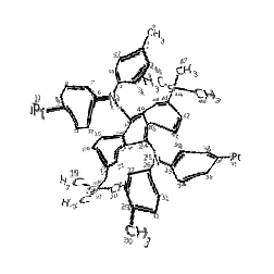 Cc1ccc(N(c2ccc(C(C)C)cc2)c2c3ccc([Si](C)(C)C)cc3c(N(c3ccc(C)cc3)c3ccc(C(C)C)cc3)c3ccc([Si](C)(C)C)cc23)cc1